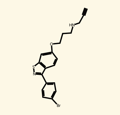 C#CCNCCCOc1ccc2c(-c3ccc(Br)cc3)nsc2c1